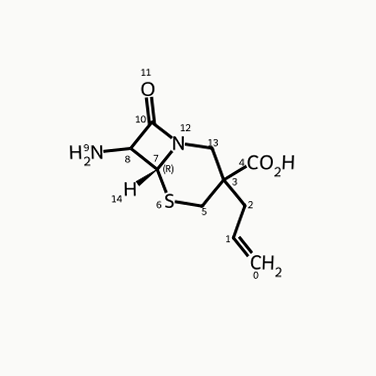 C=CCC1(C(=O)O)CS[C@@H]2C(N)C(=O)N2C1